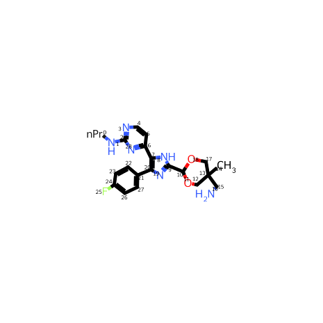 CCCNc1nccc(-c2[nH]c(C3OCC(C)(CN)CO3)nc2-c2ccc(F)cc2)n1